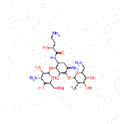 CC1C(OC2C(N)CC(NC(=O)C(O)CCN)C(OC3OC(CO)C(O)C(N)C3O)C2O)OC(CN)C(O)C1O